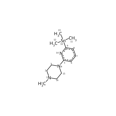 CN1CCN(c2ccc[c]([Sn]([CH3])([CH3])[CH3])n2)CC1